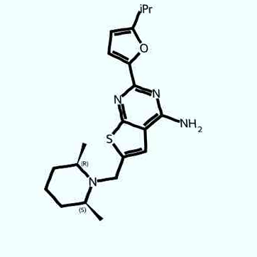 CC(C)c1ccc(-c2nc(N)c3cc(CN4[C@H](C)CCC[C@@H]4C)sc3n2)o1